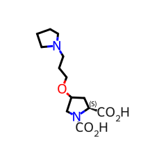 O=C(O)[C@@H]1CC(OCCCN2CCCC2)CN1C(=O)O